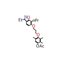 CCCc1c(OCCCOc2c(C)cc(OC(C)=O)c(C)c2C)ccc2c(CC)noc12